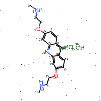 CNCCOc1ccc2cc3ccc(OCCNC)cc3nc2c1.Cl.Cl.Cl